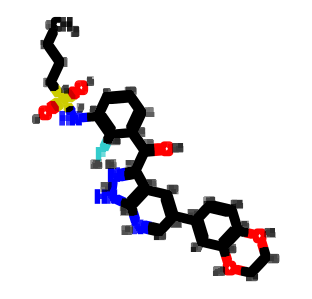 CCCCS(=O)(=O)Nc1cccc(C(=O)c2n[nH]c3ncc(-c4ccc5c(c4)OCCO5)cc23)c1F